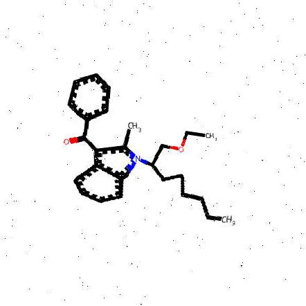 CCCCCCC(COCC)n1c(C)c(C(=O)c2ccccc2)c2ccccc21